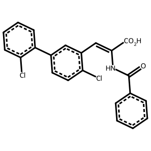 O=C(O)/C(=C/c1cc(-c2ccccc2Cl)ccc1Cl)NC(=O)c1ccccc1